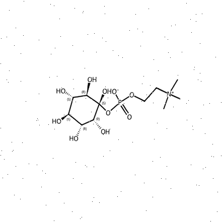 C[N+](C)(C)CCOP(=O)([O-])O[C@]1(O)[C@H](O)[C@H](O)[C@@H](O)[C@H](O)[C@H]1O